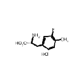 Cc1ccc(C[C@@H](N)C(=O)O)cc1F.Cl